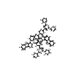 c1ccc(-c2nc(-c3ccccc3)nc(-c3ccc(-c4cccc(-c5ccc(-c6nc(-c7ccccc7)nc(-c7ccccc7)n6)cc5-n5c6ccccc6c6c7oc8ccccc8c7ccc65)c4)c(-n4c5ccccc5c5c6oc7ccccc7c6ccc54)c3)n2)cc1